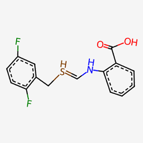 O=C(O)c1ccccc1NC=[SH]Cc1cc(F)ccc1F